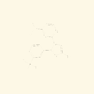 C[S+]([O-])c1ccnc(-n2cc(Br)nc2-c2cccc(C(F)(F)F)c2)n1